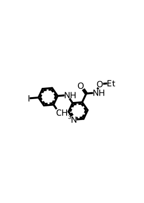 CCONC(=O)c1ccncc1Nc1ccc(I)cc1C